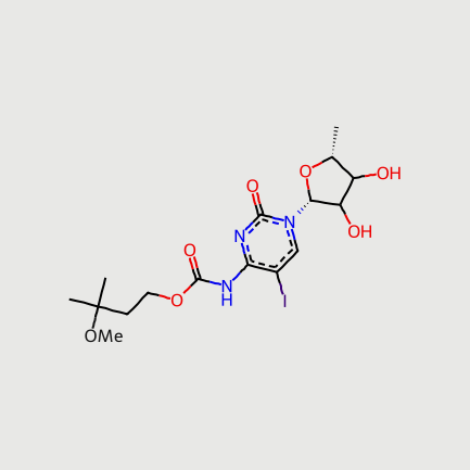 COC(C)(C)CCOC(=O)Nc1nc(=O)n([C@@H]2O[C@H](C)C(O)C2O)cc1I